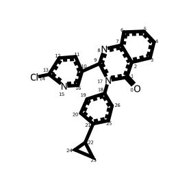 O=c1c2ccccc2nc(-c2ccc(Cl)nc2)n1-c1ccc(C2CC2)cc1